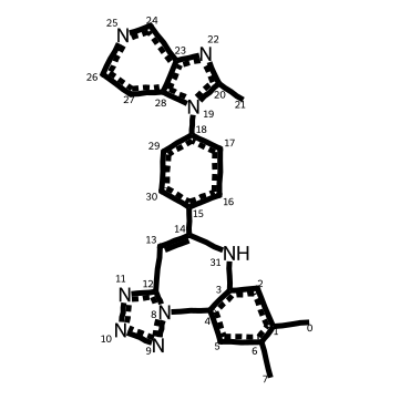 Cc1cc2c(cc1C)-n1nnnc1C=C(c1ccc(-n3c(C)nc4cnccc43)cc1)N2